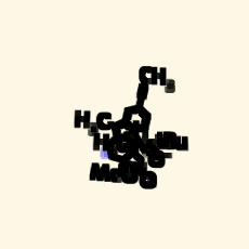 C=C(/C=C\c1sc2ccc(C#CC)cc2c1C)C(C)(CC(=O)OC)N[S@+]([O-])C(C)(C)C